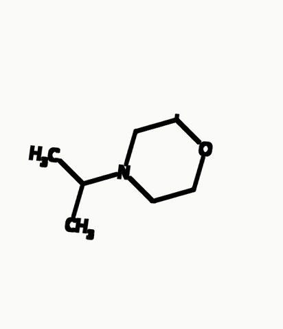 CC(C)N1C[CH]OCC1